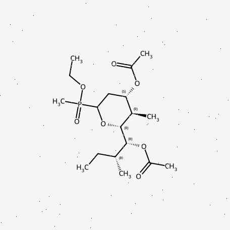 CCOP(C)(=O)C1C[C@H](OC(C)=O)[C@@H](C)[C@H]([C@H](OC(C)=O)[C@H](C)CC)O1